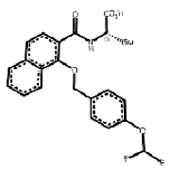 CC(C)(C)[C@H](NC(=O)c1ccc2ccccc2c1OCc1ccc(OC(F)F)cc1)C(=O)O